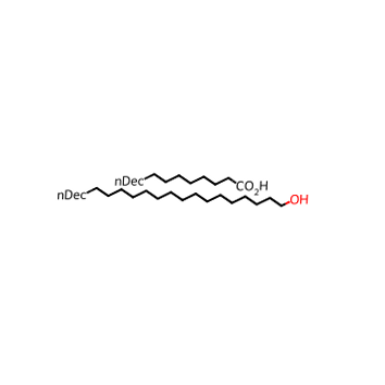 CCCCCCCCCCCCCCCCCC(=O)O.CCCCCCCCCCCCCCCCCCCCCCCCCCO